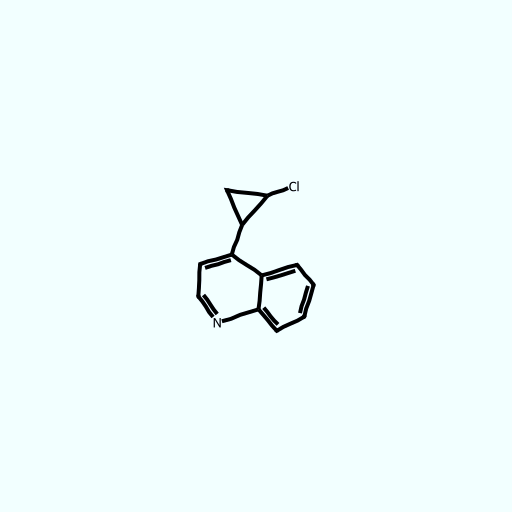 ClC1CC1c1ccnc2ccccc12